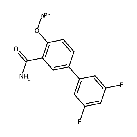 CCCOc1ccc(-c2cc(F)cc(F)c2)cc1C(N)=O